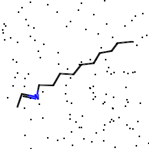 CC=NCCCCCCCCCC